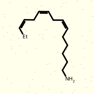 CC/C=C\C/C=C\C/C=C\CCCCCN